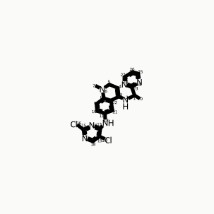 CC(NC1=CCN(C)c2ccc(Nc3nc(Cl)ncc3Cl)cc21)c1ncccn1